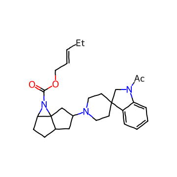 CCC=CCOC(=O)N1C2CCC3CC(N4CCC5(CC4)CN(C(C)=O)c4ccccc45)CC321